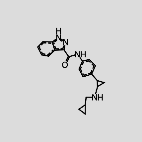 O=C(Nc1ccc(C2CC2NCC2CC2)cc1)c1n[nH]c2ccccc12